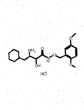 COc1ccc(OC)c(C[Cl+]NC(=O)C(O)[C@H](N)CC2CCCCC2)c1.Cl